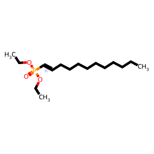 CCCCCCCCCC/C=C/P(=O)(OCC)OCC